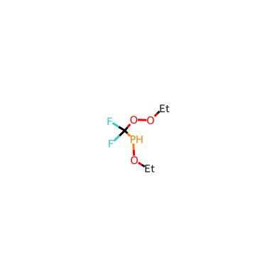 CCOOC(F)(F)POCC